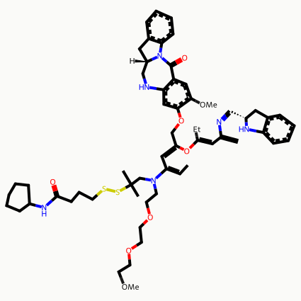 C=C(/C=C(\CC)O/C(=C\C(=C/C)N(CCOCCOCCOC)CC(C)(C)SSCCCC(=O)NC1CCCCC1)COc1cc2c(cc1OC)C(=O)N1c3ccccc3C[C@H]1CN2)/N=C\[C@@H]1Cc2ccccc2N1